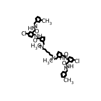 Cc1cccc(/C=N/NC(=O)c2cc(Cl)ccc2NC(=O)c2cccc(CN(C)CCCCCCN(C)Cc3cccc(C(=O)Nc4ccc(Cl)cc4C(=O)N/N=C/c4cccc(C)c4)c3)c2)c1